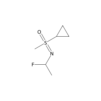 CC(F)N=S(C)(=O)C1CC1